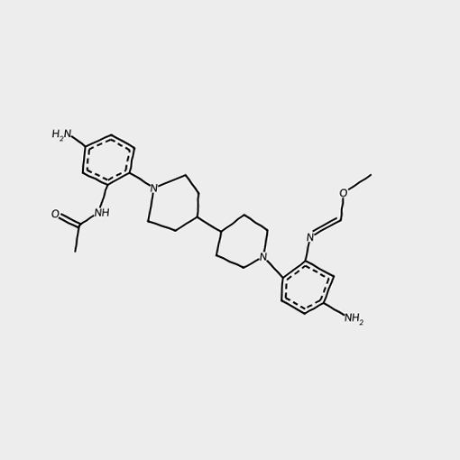 COC=Nc1cc(N)ccc1N1CCC(C2CCN(c3ccc(N)cc3NC(C)=O)CC2)CC1